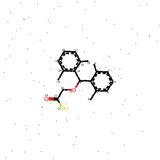 Cc1cccc(C)c1C(OCC(=O)S)c1c(C)cccc1C